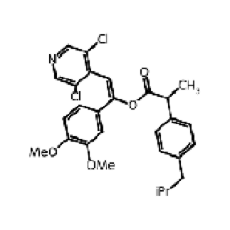 COc1ccc(/C(=C\c2c(Cl)cncc2Cl)OC(=O)C(C)c2ccc(CC(C)C)cc2)cc1OC